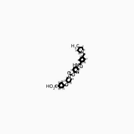 CC1CCN(Cc2ccc(C(=O)Nc3ccc(OC(=O)N4CCC(Oc5ccc(C(=O)O)cc5)CC4)nc3)cc2)CC1